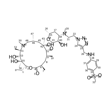 CC[C@H]1OC(=O)[C@H](C)C[C@H](C)[C@@H](O[C@@H]2O[C@H](C)C[C@H](N(C)CCn3cc(CNc4ccc(S(C)(=O)=O)cc4)nn3)[C@H]2O)[C@](C)(O)C[C@@H](C)CN(C)[C@H](C)[C@@H](O)[C@]1(C)O